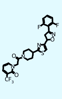 O=C(Cn1cccc(C(F)(F)F)c1=O)N1CCC(c2nc(C3CC(c4c(F)cccc4F)=NO3)cs2)CC1